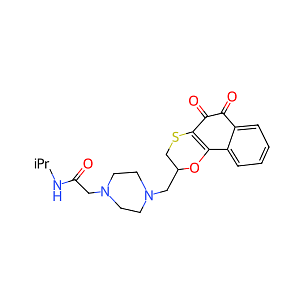 CC(C)NC(=O)CN1CCN(CC2CSC3=C(O2)c2ccccc2C(=O)C3=O)CC1